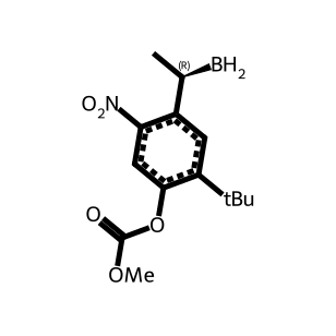 B[C@H](C)c1cc(C(C)(C)C)c(OC(=O)OC)cc1[N+](=O)[O-]